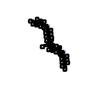 CCC(C(=O)C(=O)C(=O)C(=O)C(=O)C(=O)C(=O)/C=C\C(=O)C(=O)C(=O)C(=O)C(=O)C(=O)C(=O)C=O)[N+](C)(C)C(CC)C(=O)C(=O)C(=O)C(=O)C(=O)C(=O)C(=O)/C=C\C(=O)C(=O)C(=O)C(=O)C(=O)C(=O)C(=O)C=O.[Cl-]